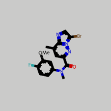 COc1cc(N(C)C(=O)c2cc(C)c3ncc(Br)n3n2)ccc1F